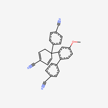 COc1ccc(-c2ccc(C#N)cc2)c(C2(c3ccc(C#N)cc3)C=CC(C#N)=CC2)c1